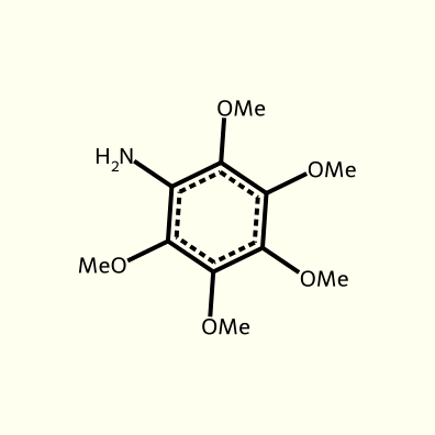 COc1c(N)c(OC)c(OC)c(OC)c1OC